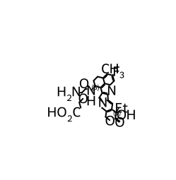 CC[C@@]1(O)C(=O)OCC2=C1C=C1c3nc4cc(F)c(C)c5c4c(c3CN1C2)[C@@H](NC(=O)C(N)OCCC(=O)O)CC5